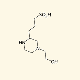 O=S(=O)(O)CCCC1CN(CCO)CCN1